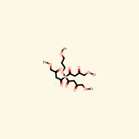 CCOCC(=O)C[C](=O)[Zr]([O]CCCOC(C)C)([C](=O)CC(=O)COCC)[C](=O)CC(=O)COCC